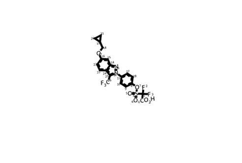 O=C(O)C(F)(F)S(=O)(=O)Oc1ccc(-n2nc3cc(OCC4CC4)ccc3c2C(F)(F)F)cc1